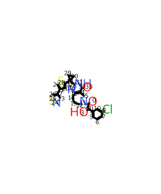 O=C([C@H](O)c1cccc(Cl)c1)N1CCCc2nc(C3(c4cc(-c5cnsc5)cs4)CC3)[nH]c(=O)c2C1